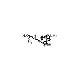 C/C=C(\C)CCNCCCN(C[C@H]1C[C@@H](n2ccc3c(NC)ncnc32)[C@H](O)[C@@H]1I)c1cnn(C)c1